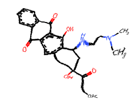 CC(=O)OCC(=O)C1(O)Cc2cc3c(c(O)c2C(NCCN(C)C)C1)C(=O)c1ccccc1C3=O